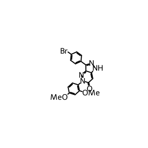 COc1ccc(-n2nc3c(-c4ccc(Br)cc4)n[nH]c3cc2=O)c(OC)c1